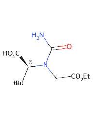 CCOC(=O)CN(C(N)=O)[C@H](C(=O)O)C(C)(C)C